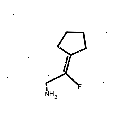 NCC(F)=C1CCCC1